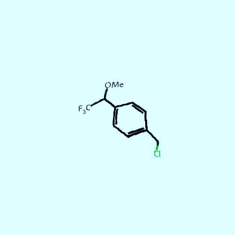 COC(c1ccc(CCl)cc1)C(F)(F)F